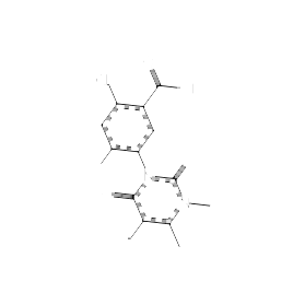 Cc1c(Cl)c(=O)n(-c2cc(C(=O)O)c(Cl)cc2F)c(=O)n1C